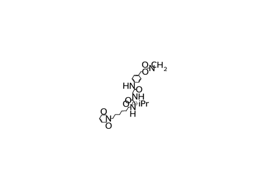 C=NC(=O)OCc1ccc(NC(=O)CNC(=O)[C@@H](NC(=O)CCCCCN2C(=O)C=CC3OC32)C(C)C)cc1